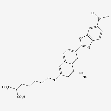 CCN(CC)c1ccc2nc(-c3ccc4cc(OCCCCCC(C(=O)O)C(=O)O)ccc4c3)oc2c1.[Na].[Na]